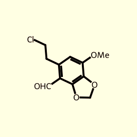 COc1cc(CCCl)c(C=O)c2c1OCO2